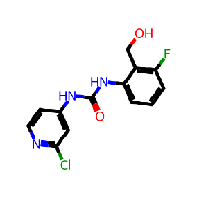 O=C(Nc1ccnc(Cl)c1)Nc1cccc(F)c1CO